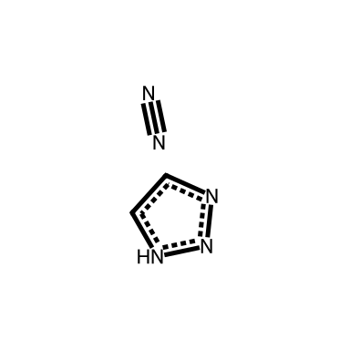 N#N.c1c[nH]nn1